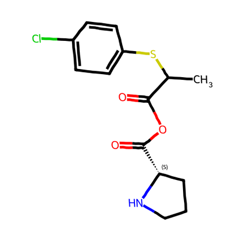 CC(Sc1ccc(Cl)cc1)C(=O)OC(=O)[C@@H]1CCCN1